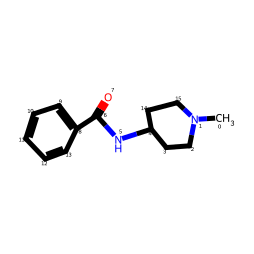 CN1CCC(NC(=O)c2cc[c]cc2)CC1